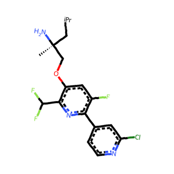 CC(C)C[C@](C)(N)COc1cc(F)c(-c2ccnc(Cl)c2)nc1C(F)F